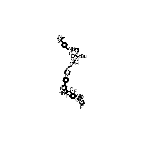 Cc1ncsc1-c1ccc(CNC(=O)[C@@H]2CCCN2C(=O)C(NC(=O)COCCN2CCN(c3ccc(-c4cnc5[nH]cc(C(=O)c6c(F)ccc(NS(=O)(=O)N7CC[C@@H](F)C7)c6F)c5c4)cc3)CC2)C(C)(C)C)cc1